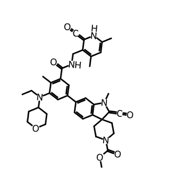 CCN(c1cc(-c2ccc3c(c2)N(C)C(=C=O)C32CCN(C(=O)OC)CC2)cc(C(=O)NCC2=C(C)C=C(C)NC2=C=O)c1C)C1CCOCC1